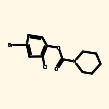 O=C(Oc1ccc(Br)cc1Cl)N1CCCCC1